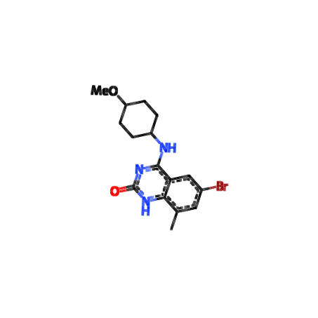 COC1CCC(Nc2nc(=O)[nH]c3c(C)cc(Br)cc23)CC1